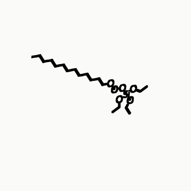 CCCCCCCCCCCCCOOO[Si](OCC)(OCC)OCC